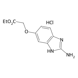 CCOC(=O)COc1ccc2nc(N)[nH]c2c1.Cl